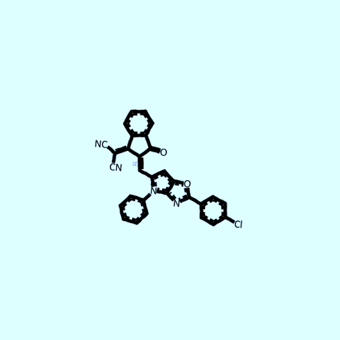 N#CC(C#N)=C1/C(=C/c2cc3oc(-c4ccc(Cl)cc4)nc3n2-c2ccccc2)C(=O)c2ccccc21